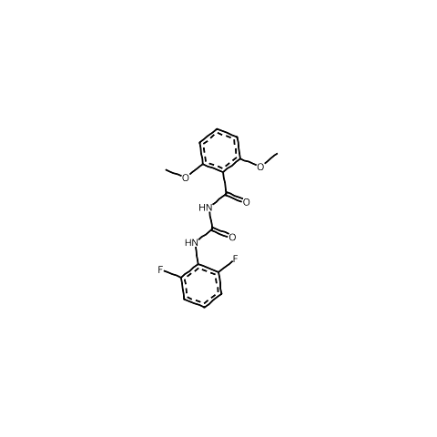 COc1cccc(OC)c1C(=O)NC(=O)Nc1c(F)cccc1F